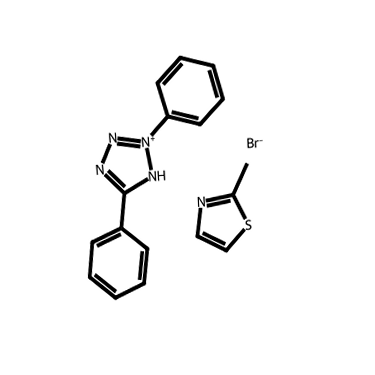 Cc1nccs1.[Br-].c1ccc(-c2nn[n+](-c3ccccc3)[nH]2)cc1